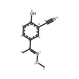 CON=C(C)c1ccc(O)c(C#N)c1